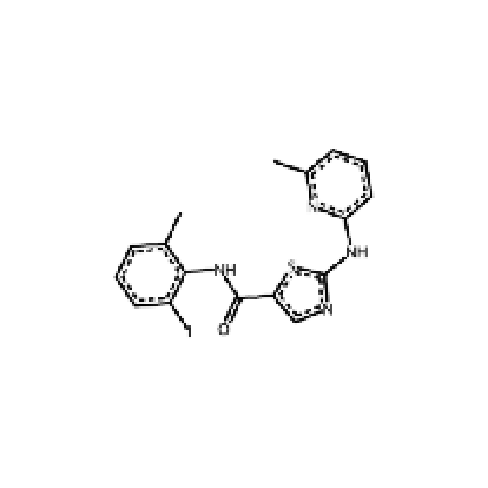 Cc1cccc(Nc2ncc(C(=O)Nc3c(C)cccc3I)s2)n1